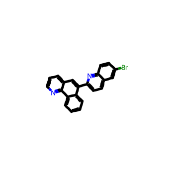 Brc1ccc2nc(-c3cc4cccnc4c4ccccc34)ccc2c1